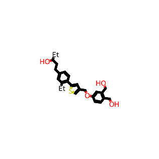 CCc1cc(CCC(O)CC)ccc1-c1cc(COc2ccc(CO)c(CO)c2)cs1